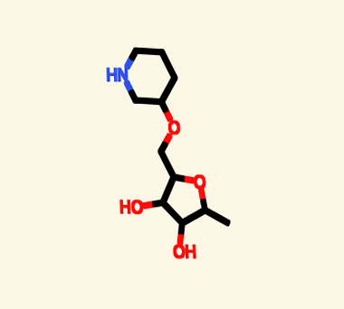 CC1OC(COC2CCCNC2)C(O)C1O